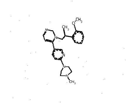 COc1ccccc1C(C)CN1CN=CC=C1c1ccc(N2CCN(C)CC2)nc1